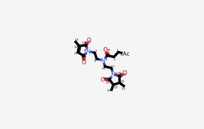 CC(=O)CCC(=O)N(CCN1C(=O)C=C(C)C1=O)CCN1C(=O)C(C)C(C)C1=O